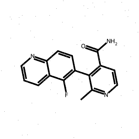 Cc1nccc(C(N)=O)c1-c1ccc2ncccc2c1F